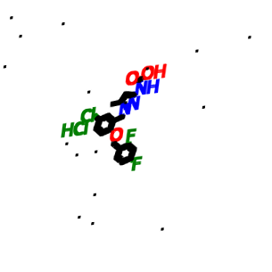 Cc1cc(NC(=O)O)nn1Cc1cc(Cl)ccc1OCc1ccc(F)cc1F.Cl